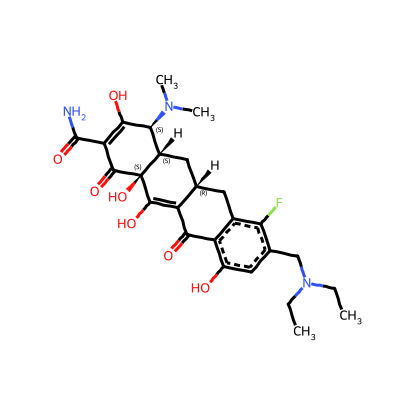 CCN(CC)Cc1cc(O)c2c(c1F)C[C@H]1C[C@H]3[C@H](N(C)C)C(O)=C(C(N)=O)C(=O)[C@@]3(O)C(O)=C1C2=O